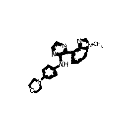 Cn1cnc2c(-c3nccnc3Nc3ccc(N4CCOCC4)cc3)cccc21